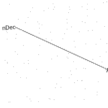 CCCCCCCCCCCCCCCCCCCCCCCCCCCCCCCCCCCCCCCCCCCCCCCCCCCCCCCCCCCCCCCCCCCCCCCCCCCCCCCCCCCCCCCCCCCCCCCCCCCCCC(C)=O